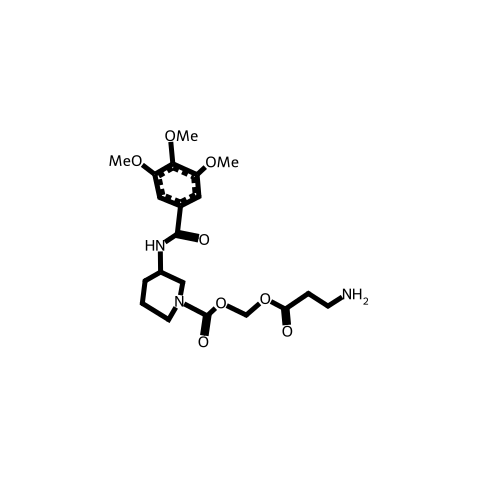 COc1cc(C(=O)NC2CCCN(C(=O)OCOC(=O)CCN)C2)cc(OC)c1OC